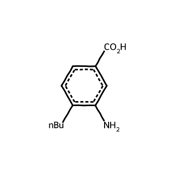 CCCCc1ccc(C(=O)O)cc1N